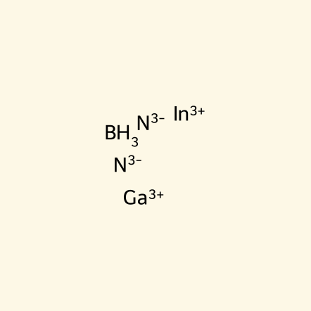 B.[Ga+3].[In+3].[N-3].[N-3]